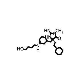 CN1C(=N)N[C@](CCC2CCCCC2)(C[C@@H]2CCC[C@@H](NCCCCO)C2)C1=O